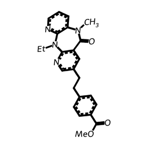 CCN1c2ncc(CCc3ccc(C(=O)OC)cc3)cc2C(=O)N(C)c2cccnc21